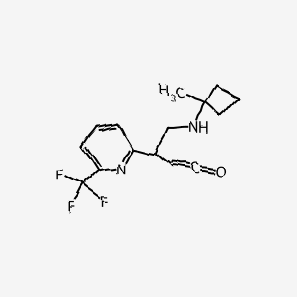 CC1(NCC(C=C=O)c2cccc(C(F)(F)F)n2)CCC1